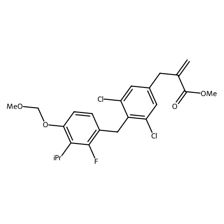 C=C(Cc1cc(Cl)c(Cc2ccc(OCOC)c(C(C)C)c2F)c(Cl)c1)C(=O)OC